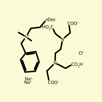 CCCCCCCCCCCC[N+](C)(C)Cc1ccccc1.O=C([O-])CN(CCN(CC(=O)[O-])CC(=O)O)CC(=O)O.[Cl-].[Na+].[Na+]